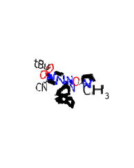 CN1CCC[C@H]1COc1nc2c(c(N3CCN(C(=O)OC(C)(C)C)[C@@H](CC#N)C3)n1)CCC1(C=Cc3ccccc31)C2